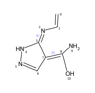 C=C/N=C1/NN=C/C1=C(/N)O